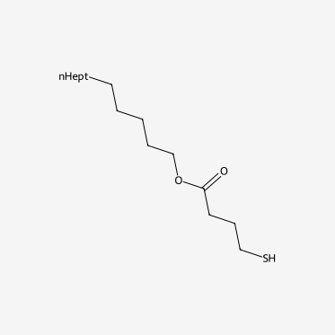 CCCCCCCCCCCCOC(=O)CCCS